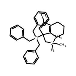 CC[Si](C)(C)C[C]1([Ti]([CH2]c2ccccc2)([CH2]c2ccccc2)[CH2]c2ccccc2)C=C(C)C2=C1CCCC2